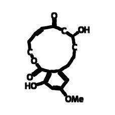 COc1cc(O)c2c(c1)CCC[C@H](O)CC(=O)/C=C\CCOC2=O